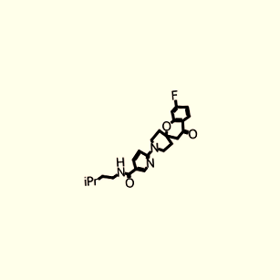 CC(C)CCNC(=O)c1ccc(N2CCC3(CC2)CC(=O)c2ccc(F)cc2O3)nc1